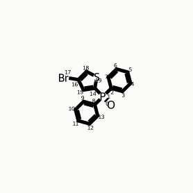 O=P(c1ccccc1)(c1ccccc1)c1cc(Br)cs1